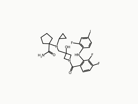 NC(=O)C1(N(CC2(O)CN(C(=O)c3ccc(F)c(F)c3Nc3ccc(I)cc3F)C2)C2CC2)CCCC1